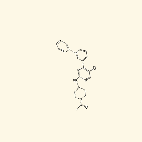 CC(=O)N1CCC(Nc2ncc(Cl)c(-c3cccc(-c4ccccc4)c3)n2)CC1